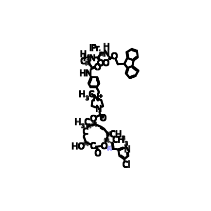 C/C(=C\c1cncc(Cl)c1)[C@@H]1OC(=O)C[C@H](O)CC[C@@H](C)[C@@H](OC(=O)N2CC[N+](C)(Cc3ccc(NC(=O)[C@H](C)NC(=O)[C@@H](NC(=O)OCC4c5ccccc5-c5ccccc54)C(C)C)cc3)CC2)C=C[C@H]1C